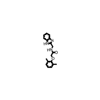 Cc1cccc(C)c1OCC(=O)NCc1nc2ccccc2[nH]1